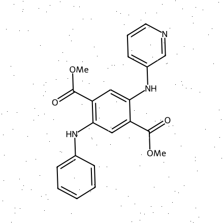 COC(=O)c1cc(Nc2cccnc2)c(C(=O)OC)cc1Nc1ccccc1